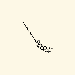 CCCCCCCCCCCCCCCCCC(=O)OC1CCC2(C)C(CCC3(C)C2CC=C2C4C(C)C(C)CCC4(C)CCC23C)C1(C)C